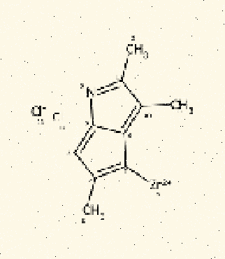 CC1=NC2=CC(C)=[C]([Zr+2])C2=C1C.[Cl-].[Cl-]